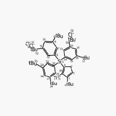 CC(C)(C)C1=CCC([Si](c2cc(C(C)(C)C)cc(C(C)(C)C)c2)(c2cc(C(C)(C)C)cc(C(C)(C)C)c2)c2cc(C(C)(C)C)cc(C(C)(C)C)c2)=[C]1[Ti+3].[Cl-].[Cl-].[Cl-]